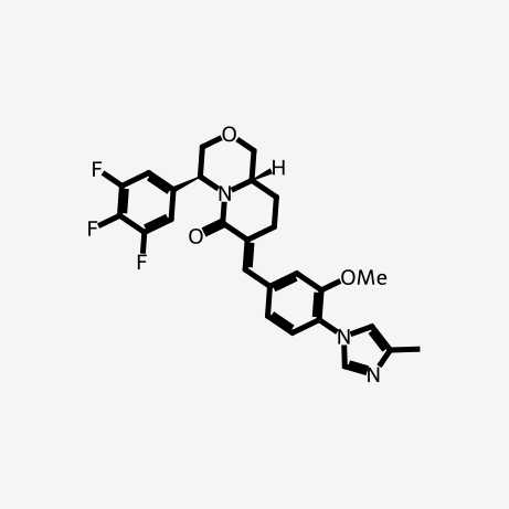 COc1cc(C=C2CC[C@H]3COC[C@H](c4cc(F)c(F)c(F)c4)N3C2=O)ccc1-n1cnc(C)c1